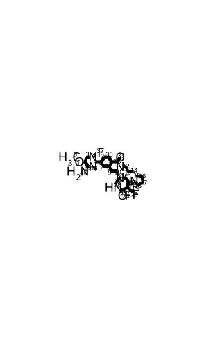 COc1cnc(-c2cc3ccn(CCC[C@@H]4CCCN4C4=C(C(F)(F)F)C(=O)NCN=C4)c(=O)c3cc2F)nc1N